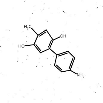 Cc1cc(O)c(-c2ccc(N)cc2)cc1O